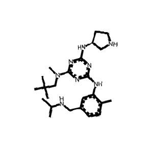 Cc1ccc(CNC(C)C)cc1Nc1nc(N[C@H]2CCNC2)nc(N(C)CC(C)(C)C)n1